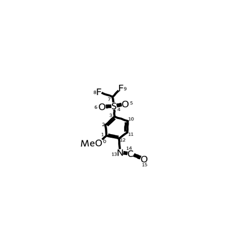 COc1cc(S(=O)(=O)C(F)F)ccc1N=C=O